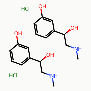 CNC[C@H](O)c1cccc(O)c1.CNC[C@H](O)c1cccc(O)c1.Cl.Cl